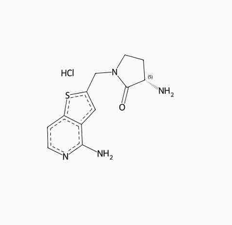 Cl.Nc1nccc2sc(CN3CC[C@H](N)C3=O)cc12